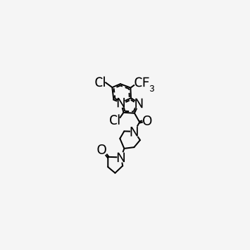 O=C(c1nc2c(C(F)(F)F)cc(Cl)cn2c1Cl)N1CCC(N2CCCC2=O)CC1